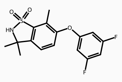 Cc1c(Oc2cc(F)cc(F)c2)ccc2c1S(=O)(=O)NC2(C)C